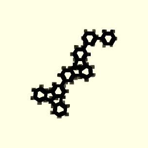 c1ccc(-c2cccc(-c3ccc4c(c3)c3cccc5c6cc(-c7cc8c9ccccc9n9c%10ccccc%10c(c7)c89)ccc6n4c35)c2)cc1